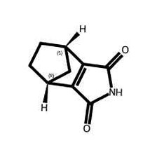 O=C1NC(=O)C2=C1[C@@H]1CC[C@H]2C1